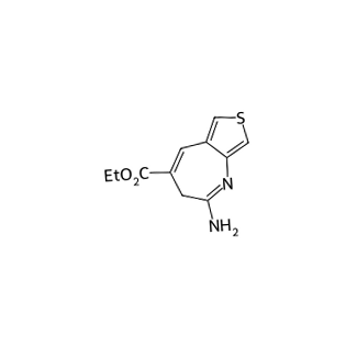 CCOC(=O)C1=Cc2cscc2N=C(N)C1